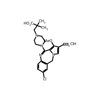 COc1c(C)cn2c1C(N1CCN(CC(C)(C)C(=O)O)CC1)=Nc1ccc(Cl)cc1C2.Cl.Cl